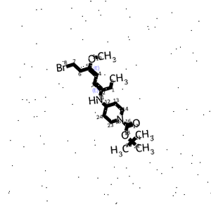 CC/C(=C\C=C(/CCBr)OC)NC1CCN(C(=O)OC(C)(C)C)CC1